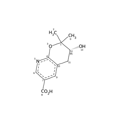 CC1(C)Oc2ncc(C(=O)O)cc2C[C@H]1O